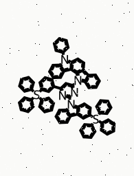 c1ccc(-n2c3ccccc3c3c2ccc2c4ccccc4n(-c4cc(-c5cccc(S(c6ccccc6)(c6ccccc6)c6ccccc6)c5)nc(-n5c6ccccc6c6cc(S(c7ccccc7)(c7ccccc7)c7ccccc7)ccc65)n4)c23)cc1